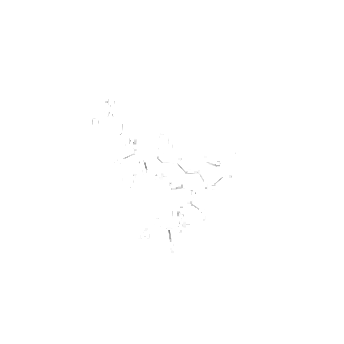 CCN(CC)CCNC(=O)c1c(C)[nH]c(C=C2C(=O)N(C(=O)NNC(=O)OC(C)(C)C)c3ccc(F)cc32)c1C